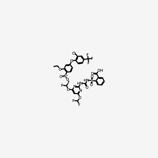 CCOc1cc(Oc2ccc(C(F)(F)F)cc2Cl)ccc1[N+](=O)[O-].O=C(Nc1nc(OC(F)F)cc(OC(F)F)n1)NS(=O)(=O)c1ccccc1C(=O)O